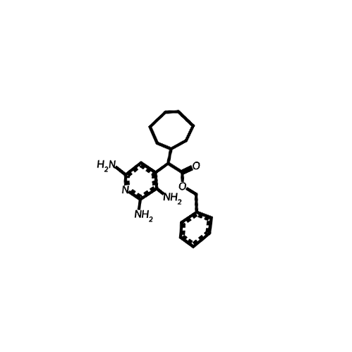 Nc1cc(C(C(=O)OCc2ccccc2)C2CCCCCC2)c(N)c(N)n1